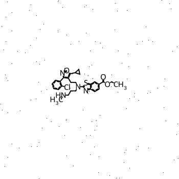 CCOC(=O)c1ccc2nc(N(CCCNC)CCc3c(-c4ccccc4Cl)noc3C3CC3)sc2c1